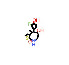 C=C1/C(c2ccc(O)c(F)c2)=C(O)\C=C/CNC(=O)c2sccc21